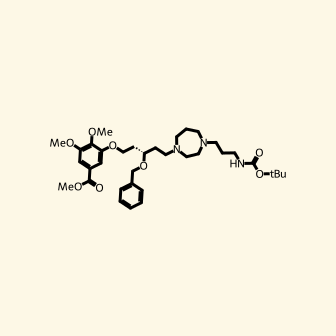 COC(=O)c1cc(OC)c(OC)c(OCC[C@H](CCN2CCCN(CCCNC(=O)OC(C)(C)C)CC2)OCc2ccccc2)c1